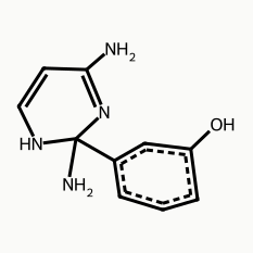 NC1=NC(N)(c2cccc(O)c2)NC=C1